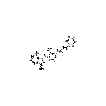 CC(C)n1cc(C(=O)c2cccc(NC(=O)NCc3ccccc3)c2Cl)c2c(N)ncnc21